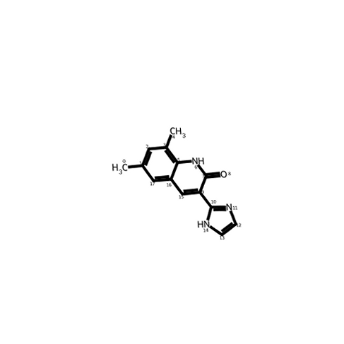 Cc1cc(C)c2[nH]c(=O)c(-c3ncc[nH]3)cc2c1